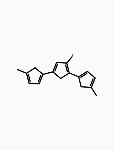 CC1=CC=C(C2=CC(F)=C(C3=CC=C(C)C3)C2)C1